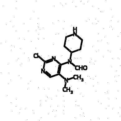 CN(C)c1cnc(Cl)nc1N(C=O)C1CCNCC1